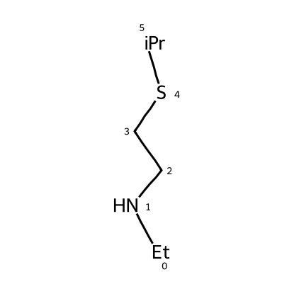 CCNCCSC(C)C